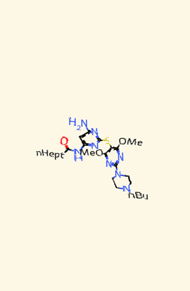 CCCCCCCC(=O)Nc1cc(N)nc(Sc2c(OC)nc(N3CCN(CCCC)CC3)nc2OC)n1